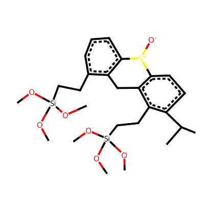 CO[Si](CCc1cccc2c1Cc1c(ccc(C(C)C)c1CC[Si](OC)(OC)OC)[S+]2[O-])(OC)OC